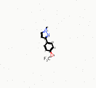 Cn1ccc(-c2ccc(OC(F)(F)F)cc2)n1